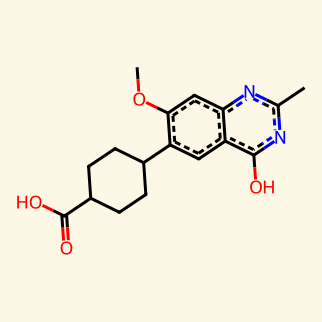 COc1cc2nc(C)nc(O)c2cc1C1CCC(C(=O)O)CC1